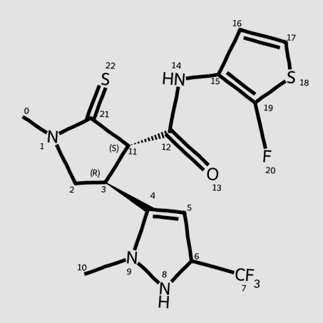 CN1C[C@H](C2=CC(C(F)(F)F)NN2C)[C@@H](C(=O)Nc2ccsc2F)C1=S